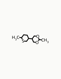 CC1OCC(C2CCC(C)SC2)CO1